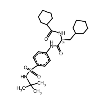 CC(C)(C)NS(=O)(=O)c1ccc(NC(=O)[C@H](CC2CCCCC2)NC(=O)C2CCCCC2)cc1